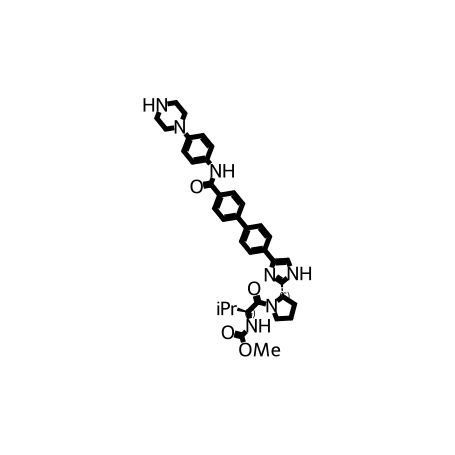 COC(=O)N[C@H](C(=O)N1CCC[C@H]1c1nc(-c2ccc(-c3ccc(C(=O)Nc4ccc(N5CCNCC5)cc4)cc3)cc2)c[nH]1)C(C)C